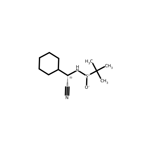 CC(C)(C)[S+]([O-])N[C@H](C#N)C1CCCCC1